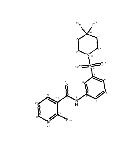 O=C(Nc1cccc(S(=O)(=O)N2CCC(F)(F)CC2)c1)c1cccnc1F